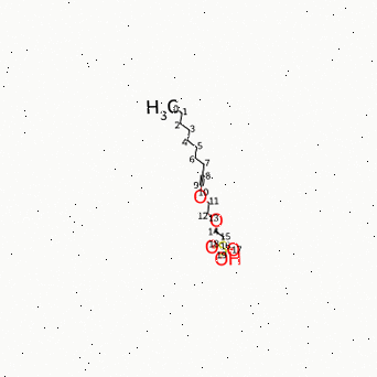 CCCCCCCCC#COCCOCCS(=O)(=O)O